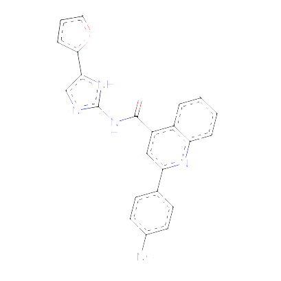 O=C(Nc1ncc(-c2ccco2)[nH]1)c1cc(-c2ccc([N+](=O)[O-])cc2)nc2ccccc12